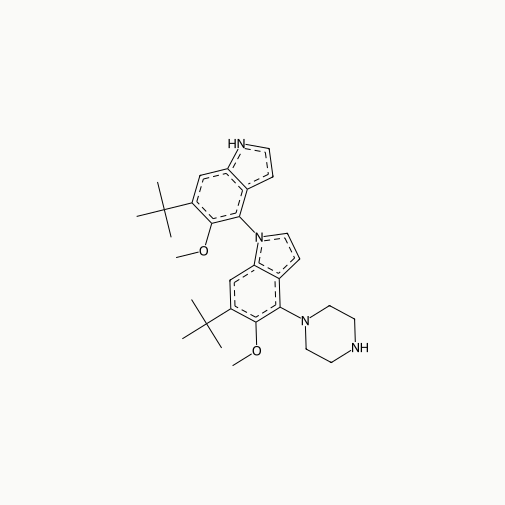 COc1c(C(C)(C)C)cc2[nH]ccc2c1-n1ccc2c(N3CCNCC3)c(OC)c(C(C)(C)C)cc21